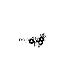 CCOC(=O)C1=CCC(NC(=O)C2NCCc3cc4c(c(OC)c32)OCO4)C=C1